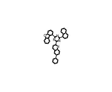 c1ccc(-c2ccc3nc(-c4nc(-c5cccc6ccccc56)nc(-c5cccc6oc7ccccc7c56)n4)ccc3c2)cc1